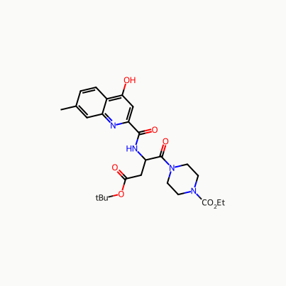 CCOC(=O)N1CCN(C(=O)C(CC(=O)OC(C)(C)C)NC(=O)c2cc(O)c3ccc(C)cc3n2)CC1